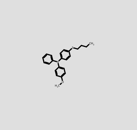 CCCCSc1ccc(N(c2ccccc2)c2ccc(OC)cc2)cc1